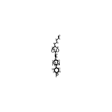 C=CCCCC1COC(C#Cc2cnc(-c3ccc(F)cc3)nc2)OC1